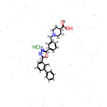 Cc1c(-c2ccccc2)cccc1-c1nnc(-c2cccc(CN3CCC(C(=O)O)CC3)c2)o1.Cl